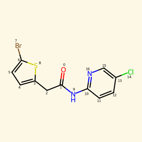 O=C(Cc1ccc(Br)s1)Nc1ccc(Cl)cn1